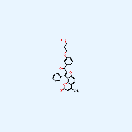 Cc1cc(=O)oc2c1ccc1oc(C(=O)c3cccc(OCCCO)c3)c(-c3ccccc3)c12